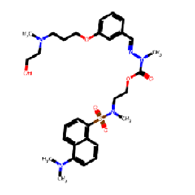 CN(CCO)CCCOc1cccc(/C=N/N(C)C(=O)OCCN(C)S(=O)(=O)c2cccc3c(N(C)C)cccc23)c1